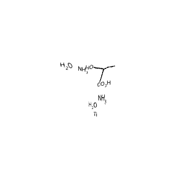 CC(O)C(=O)O.N.N.O.O.[Ti]